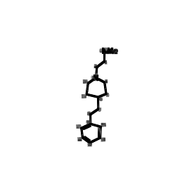 CNCCN1CCC(CCc2ccccc2)CC1